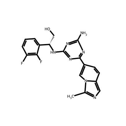 Cc1ncc2ccc(-c3nc(N)nc(N[C@@H](CO)c4cccc(F)c4F)n3)cn12